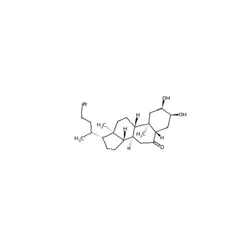 CC(C)CCC(C)[C@H]1CC[C@H]2[C@@H]3CC(=O)[C@H]4C[C@H](O)[C@H](O)C[C@]4(C)[C@H]3CC[C@]12C